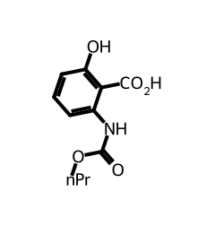 CCCOC(=O)Nc1cccc(O)c1C(=O)O